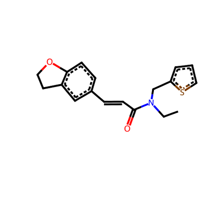 CCN(Cc1cccs1)C(=O)/C=C/c1ccc2c(c1)CCO2